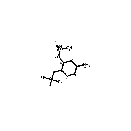 NC1CSC(CC(F)(F)F)C(O[PH](=O)O)C1